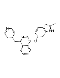 Cc1cc2ccc(Oc3nnc(Cc4ccncc4)c4ccccc34)cc2[nH]1